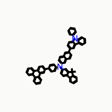 CC1(C)c2ccccc2-c2ccc(N(c3ccc(-c4ccc5c6ccccc6c6ccccc6c5c4)cc3)c3ccc4cc(-c5ccc6c(c5)c5ccccc5n6-c5ccccc5)ccc4c3)cc21